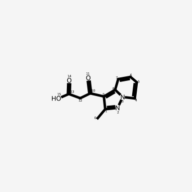 Cc1nn2ccccc2c1C(=O)CC(=O)O